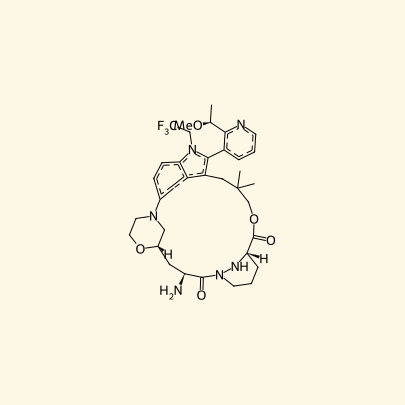 CO[C@@H](C)c1ncccc1-c1c2c3cc(ccc3n1CC(F)(F)F)N1CCO[C@@H](C[C@H](N)C(=O)N3CCC[C@H](N3)C(=O)OCC(C)(C)C2)C1